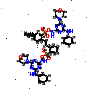 O=S(=O)(ONc1nc(Nc2ccccc2)nc(N2CCOCC2)n1)c1ccccc1C=Cc1ccccc1S(=O)(=O)ONc1nc(Nc2ccccc2)nc(N2CCOCC2)n1.[NaH].[NaH]